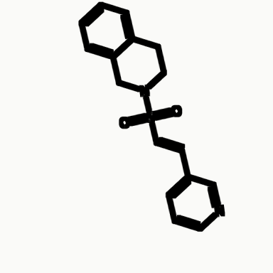 O=S(=O)(C=Cc1cccnc1)N1CCc2ccccc2C1